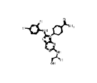 CC[C@@H](CO)Nc1ncc2nc(Nc3ccc(Cl)cc3Cl)n(C3CCC(C(N)=O)CC3)c2n1